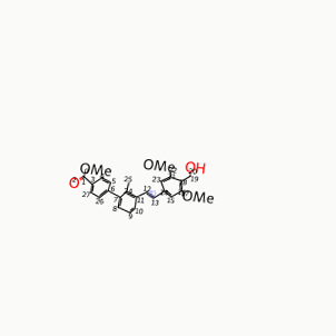 COC(=O)c1ccc(-c2cccc(/C=C/c3cc(OC)c(CO)c(OC)c3)c2C)cc1